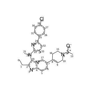 CCc1nc2ccc(C3=CCN([S+](C)[O-])CC3)cn2c1N(C)c1nc(-c2ccc(Cl)cc2)cs1